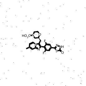 Cc1ccn2c(C[C@H]3CN(C(=O)O)CCO3)c(-c3c(F)cc(-c4n[nH]c(=O)s4)cc3F)nc2c1